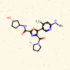 C[C@H]1CCCN1C(=O)c1nc(C(=O)NC2CC[C@H](O)C2)sc1-c1cnc(NC(C)(C)C)cc1C(F)(F)F